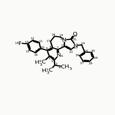 Cc1c(C(C)C)nc2c(c1-c1ccc(F)cc1)CCCn1c-2cn(Cc2ccccc2)c1=O